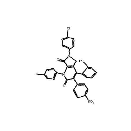 O=C1c2c(c(-c3ccccc3O)c(-c3ccc([N+](=O)[O-])cc3)c(=O)n2-c2ccc(Cl)cc2)CN1c1ccc(Cl)cc1